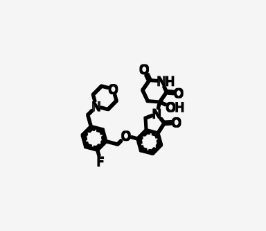 O=C1CCC(O)(N2Cc3c(OCc4cc(CN5CCOCC5)ccc4F)cccc3C2=O)C(=O)N1